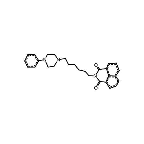 O=C1c2cccc3cccc(c23)C(=O)N1CCCCCCN1CCN(c2ccccc2)CC1